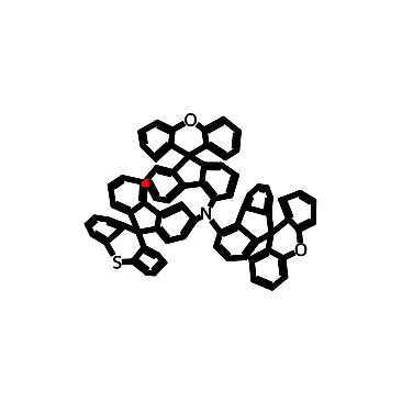 c1ccc2c(c1)Oc1ccccc1C21c2ccccc2-c2c(N(c3ccc4c(c3)-c3ccccc3C43c4ccccc4Sc4ccccc43)c3cccc4c3-c3ccccc3C43c4ccccc4Oc4ccccc43)cccc21